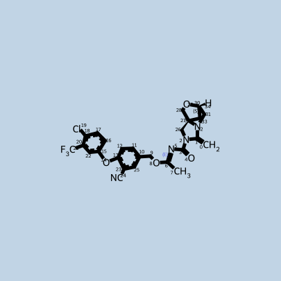 C=C1N(C(=O)/N=C(\C)OCc2ccc(Oc3ccc(Cl)c(C(F)(F)F)c3)c(C#N)c2)C[C@]23CO[C@H](CN12)C3